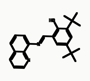 CC(C)(C)c1cc(/C=N/c2cccc3cccnc23)c(O)c(C(C)(C)C)c1